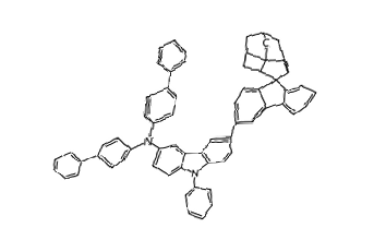 c1ccc(-c2ccc(N(c3ccc(-c4ccccc4)cc3)c3ccc4c(c3)c3cc(-c5ccc6c(c5)-c5ccccc5C65C6CC7CC8CC5C8(C7)C6)ccc3n4-c3ccccc3)cc2)cc1